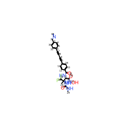 C=NCc1ccc(C#CC#Cc2ccc(C(=O)N[C@H](C(=O)NO)C(C)(NC(=O)NC)C(F)F)cc2)cc1